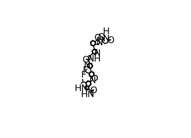 CNC(=O)c1c[nH]c2c(C(C)C)cc(N3CCCc4cc(-c5ccc(C(=O)NCc6cncc(-c7cccc8c7CN(C7CCC(=O)NC7=O)C8=O)c6)nc5)c(C(F)F)cc43)cc12